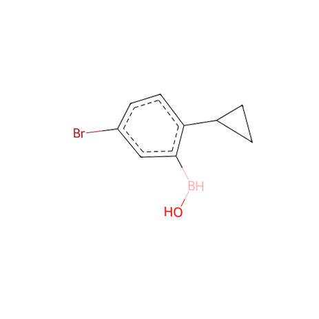 OBc1cc(Br)ccc1C1CC1